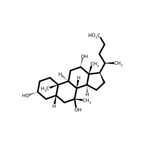 C[C@H](CCC(=O)O)[C@H]1CC[C@H]2[C@H]3[C@H](C[C@H](O)[C@]12C)[C@@]1(C)CC[C@@H](O)C[C@H]1C[C@@]3(C)O